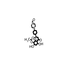 CC(C)Oc1c(O)cc(O)c2c(=O)cc(-c3ccc(N4CCN(C=O)CC4)cc3)oc12